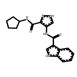 O=C(NC1CCCC1)c1n[nH]cc1NC(=O)c1c[nH]c2ccccc12